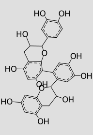 Oc1cc(O)c2c(c1)OC(c1cc(O)c(O)cc1-c1c(O)cc(O)c3c1OC(c1ccc(O)c(O)c1)C(O)C3)C(O)C2